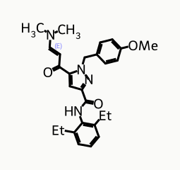 CCc1cccc(CC)c1NC(=O)c1cc(C(=O)/C=C/N(C)C)n(Cc2ccc(OC)cc2)n1